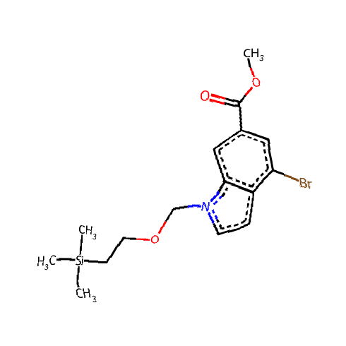 COC(=O)c1cc(Br)c2ccn(COCC[Si](C)(C)C)c2c1